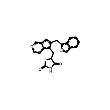 O=C1NC(=O)C(Cc2c(Cc3occ4ccccc34)cc3coccc2-3)S1